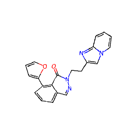 O=c1c2c(-c3ccco3)cccc2cnn1CCc1cn2ccccc2n1